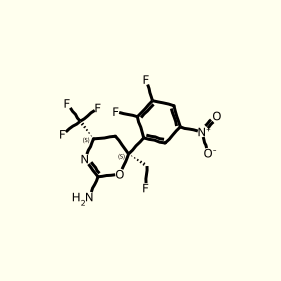 NC1=N[C@H](C(F)(F)F)C[C@@](CF)(c2cc([N+](=O)[O-])cc(F)c2F)O1